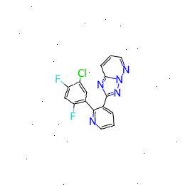 Fc1cc(F)c(-c2ncccc2-c2nc3cccnn3n2)cc1Cl